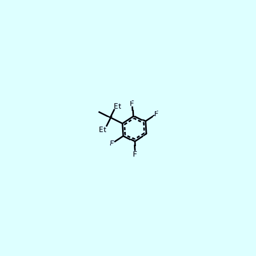 CCC(C)(CC)c1c(F)c(F)cc(F)c1F